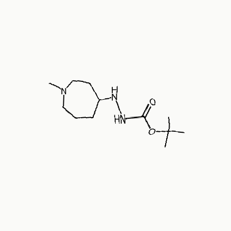 CN1CCCC(NNC(=O)OC(C)(C)C)CC1